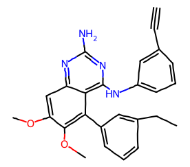 C#Cc1cccc(Nc2nc(N)nc3cc(OC)c(OC)c(-c4cccc(CC)c4)c23)c1